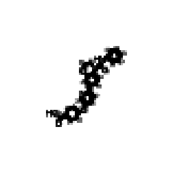 O=C(O)C1CCC(Oc2ccc(-c3ccc4c(c3)OCCN4C(=O)Nc3ccccc3)nc2)CC1